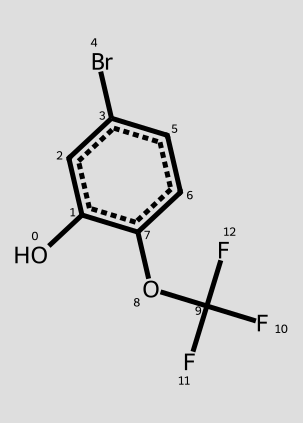 Oc1cc(Br)ccc1OC(F)(F)F